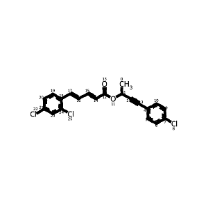 CC(C#Cc1ccc(Cl)cc1)OC(=O)/C=C/C=C/c1ccc(Cl)cc1Cl